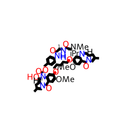 CN[C@H](C(=O)N[C@@H](C)C(=O)Nc1ccc(COC(=O)N2c3cc(OCCCCCOc4cc5c(cc4OC)C(=O)N4C=C(C)C[C@H]4C=N5)c(OC)cc3C(=O)N3C=C(C)C[C@H]3[C@@H]2O)cc1)C(C)C